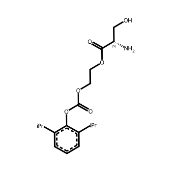 CC(C)c1cccc(C(C)C)c1OC(=O)OCCOC(=O)[C@@H](N)CO